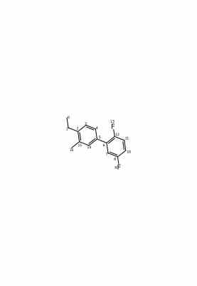 CCc1ccc(-c2cc(F)ccc2F)cc1C